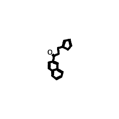 O=C(CCC1=CC=CC1)c1ccc2ccccc2c1